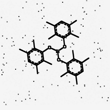 Cc1cc(C)c(C)c([O][Bi]([O]c2c(C)c(C)cc(C)c2C)[O]c2c(C)c(C)cc(C)c2C)c1C